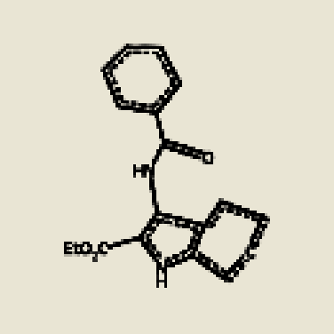 CCOC(=O)c1[nH]c2ccccc2c1NC(=O)c1ccccc1